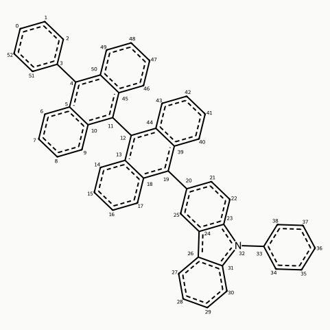 c1ccc(-c2c3ccccc3c(-c3c4ccccc4c(-c4ccc5c(c4)c4ccccc4n5-c4ccccc4)c4ccccc34)c3ccccc23)cc1